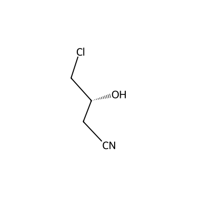 N#CC[C@@H](O)CCl